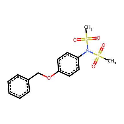 CS(=O)(=O)N(c1ccc(OCc2ccccc2)cc1)S(C)(=O)=O